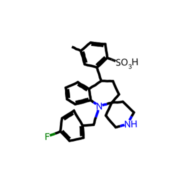 Cc1ccc(S(=O)(=O)O)c(C2CCC3(CCNCC3)N(Cc3ccc(F)cc3)c3ccccc32)c1